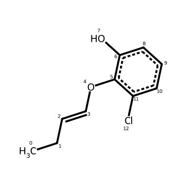 CC/C=C/Oc1c(O)cccc1Cl